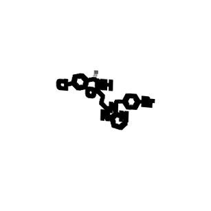 C[C@H](NC(=O)CCc1nc2cccnc2n1Cc1ccc(Br)cc1)c1ccc(Cl)cc1